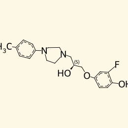 Cc1ccc(N2CCN(C[C@H](O)COc3ccc(O)c(F)c3)CC2)cc1